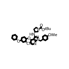 COc1ccc(Cn2nc(N[C@@H]3CCN(C(=O)OC(C)(C)C)C3)c3c(Oc4ccc(Oc5ccccc5)cc4C#N)ccnc32)cc1